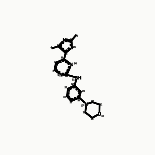 Cc1nc(C)c(-c2ccnc(Nc3cccc(N4CCOCC4)c3)n2)s1